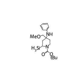 COCC1(Nc2ccccc2)CCN(C(=O)OC(C)(C)C)C([SiH3])C1